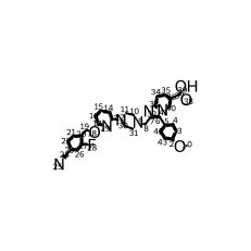 COc1ccc(-c2c(CN3CCN(c4cccc(OCc5ccc(C#N)cc5F)n4)CC3)nc3ccc(C(=O)O)cn23)cc1